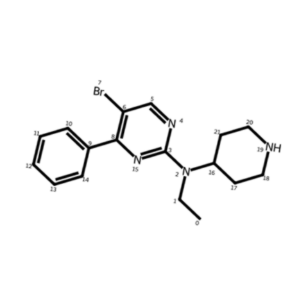 CCN(c1ncc(Br)c(-c2ccccc2)n1)C1CCNCC1